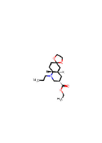 CCCN1C[C@@H](C(=O)OCC)C[C@@H]2CC3(CC[C@H]21)OCCO3